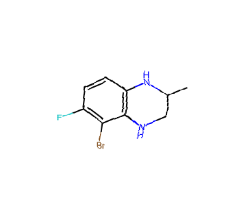 CC1CNc2c(ccc(F)c2Br)N1